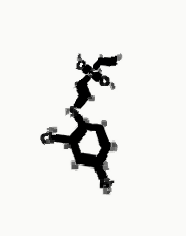 C=CS(=O)(=O)C=CSc1ccc(Br)cc1Cl